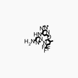 Cc1cc(C(F)(F)F)ncc1Oc1cc(Nc2cc(N)ncn2)c2ncn(C)c2n1